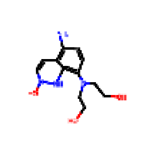 Nc1ccc(N(CCO)CCO)c2c1C=CN(O)N2